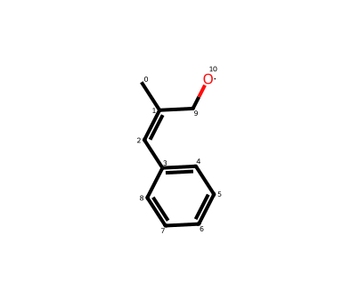 CC(=Cc1ccccc1)C[O]